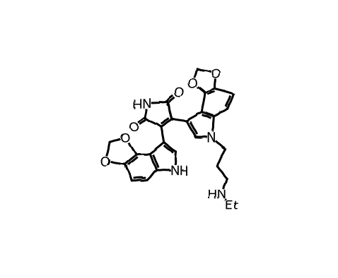 CCNCCCn1cc(C2=C(c3c[nH]c4ccc5c(c34)OCO5)C(=O)NC2=O)c2c3c(ccc21)OCO3